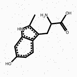 Cc1[nH]c2cc(O)ccc2c1CC(N)C(=O)O